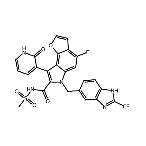 CS(=O)(=O)NC(=O)c1c(-c2ccc[nH]c2=O)c2c3occc3c(F)cc2n1Cc1ccc2[nH]c(C(F)(F)F)nc2c1